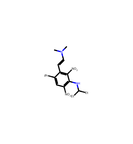 CCC(CC)Nc1c([N+](=O)[O-])cc(C(C)C)c(C=CN(C)C)c1[N+](=O)[O-]